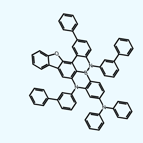 c1ccc(-c2cccc(N3B4c5ccc(N(c6ccccc6)c6ccccc6)cc5N(c5cccc(-c6ccccc6)c5)c5cc6c(oc7ccccc76)c(c54)-c4cc(-c5ccccc5)ccc43)c2)cc1